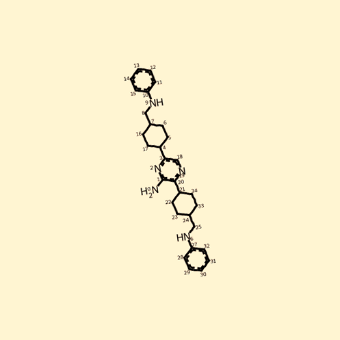 Nc1nc(C2CCC(CNc3ccccc3)CC2)cnc1C1CCC(CNc2ccccc2)CC1